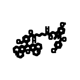 COc1ccc2c(c1)c(CC(=O)NCCCCNC(=O)c1ccc(C=O)c(C3=c4cc5c6c(c4Oc4c3cc3c7c4CCCN7CCC3)CCC[N+]=6CCC5)c1)c(C)n2C(=O)c1ccc(Cl)cc1